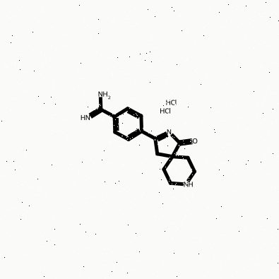 Cl.Cl.N=C(N)c1ccc(C2=NC(=O)C3(CCNCC3)C2)cc1